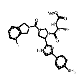 Bc1ccc(-c2c[nH]c(C3CN(C(=O)N4Cc5cccc(I)c5C4)CN3C(=O)[C@@H](NC(=O)OC)C(C)C)n2)cc1